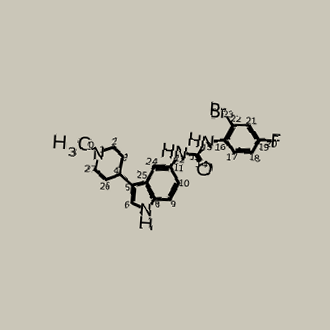 CN1CCC(c2c[nH]c3ccc(NC(=O)Nc4ccc(F)cc4Br)cc23)CC1